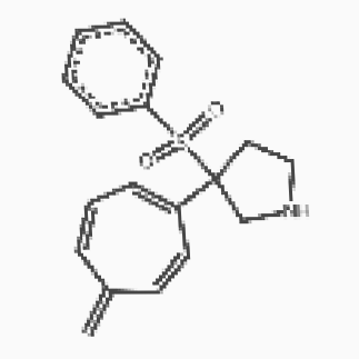 C=C1C=CC=C(C2(S(=O)(=O)c3ccccc3)CCNC2)C=C1